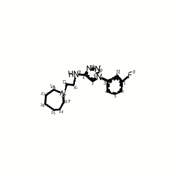 Fc1cccc(-n2cc(NCCN3CCCCCC3)nn2)c1